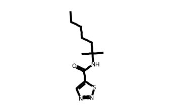 CCCCCC(C)(C)NC(=O)c1cnns1